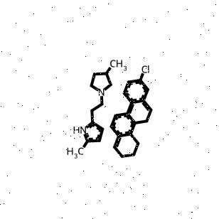 Cc1ccc(CCN2CCC(C)C2)[nH]1.Clc1ccc2c(c1)=CCc1c3c(ccc1=2)=CCCC3